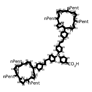 CCCCCc1c2nc(c(CCCCC)c3ccc([nH]3)c(-c3ccc(/C=C/c4ccc(N(c5ccc(/C=C/c6ccc(-c7c8nc(c(CCCCC)c9ccc([nH]9)c(CCCCC)c9nc(c(CCCCC)c%10ccc7[nH]%10)C=C9)C=C8)cc6)cc5)c5ccc(C(=O)O)cc5)cc4)cc3)c3nc(c(CCCCC)c4ccc1[nH]4)C=C3)C=C2